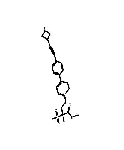 COC(=O)C(C)(CCN1CC=C(c2ccc(C#CC3CNC3)cc2)CC1)S(C)(=O)=O